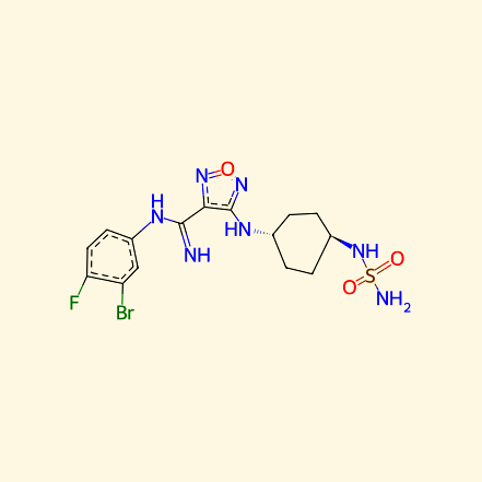 N=C(Nc1ccc(F)c(Br)c1)c1nonc1N[C@H]1CC[C@H](NS(N)(=O)=O)CC1